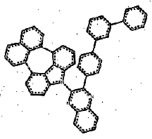 c1ccc(-c2cccc(-c3ccc(-c4nc5ccccc5nc4-n4c5cccc6c5c5c(cccc54)-c4cccc5cccc-6c45)cc3)c2)cc1